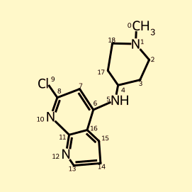 CN1CCC(Nc2cc(Cl)nc3ncccc23)CC1